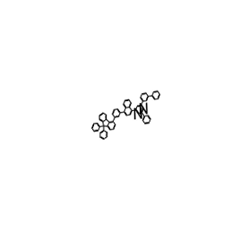 c1ccc(-c2cccc(-c3cc(-c4ccc(-c5cccc(-c6cccc7c6-c6ccccc6C7(c6ccccc6)c6ccccc6)c5)c5ccccc45)nc(-c4ccccc4)n3)c2)cc1